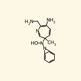 CC1(N(O)N2c3ccccc32)C=CC(N)=C(CN)N=C1